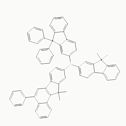 CC1(C)c2ccccc2-c2ccc(N(c3ccc4c(c3)C(C)(C)c3c-4cc(-c4ccccc4)c4ccccc34)c3ccc4c(c3)C(c3ccccc3)(c3ccccc3)c3ccccc3-4)cc21